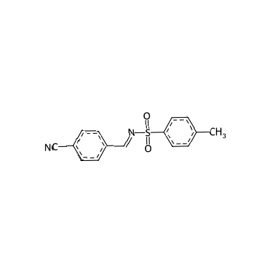 Cc1ccc(S(=O)(=O)N=Cc2ccc(C#N)cc2)cc1